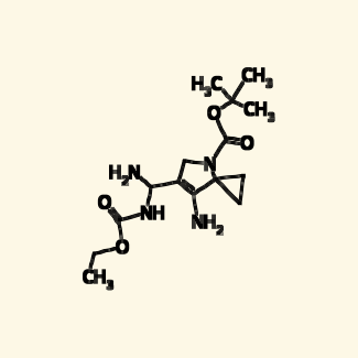 CCOC(=O)NC(N)C1=C(N)C2(CC2)N(C(=O)OC(C)(C)C)C1